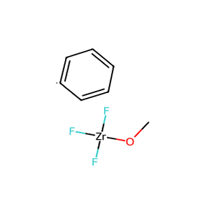 C[O][Zr]([F])([F])[F].[c]1ccccc1